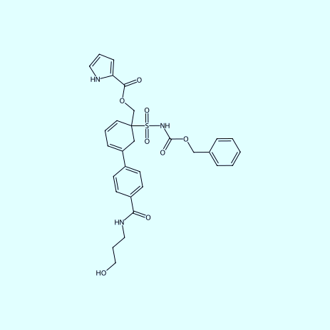 O=C(NS(=O)(=O)C1(COC(=O)c2ccc[nH]2)C=CC=C(c2ccc(C(=O)NCCCO)cc2)C1)OCc1ccccc1